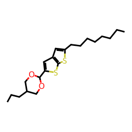 CCCCCCCCc1cc2cc(C3OCC(CCC)CO3)sc2s1